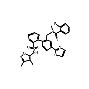 Cc1noc(NS(=O)(=O)c2ccccc2-c2ccc(-c3ncco3)cc2CN(C)C(=O)c2ccccc2F)c1C